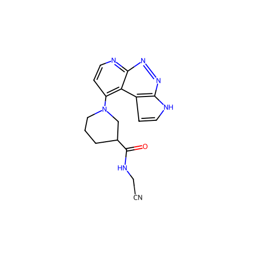 N#CCNC(=O)C1CCCN(c2ccnc3nnc4[nH]ccc4c23)C1